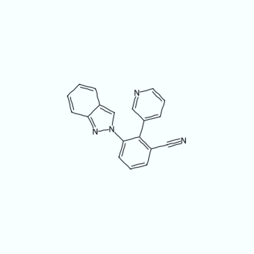 N#Cc1cccc(-n2cc3ccccc3n2)c1-c1cccnc1